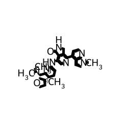 CN(C)CC1=NC(Nc2cnc(-c3ccnc4c3ccn4C)c3c2C(=O)NC3)=CCC1(C)[C@@H]1CCOC1